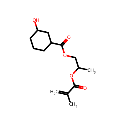 C=C(C)C(=O)OC(C)COC(=O)C1CCCC(O)C1